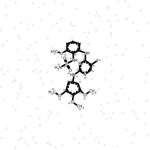 COc1cccc(Nc2nc(Nc3cc(OC)c(OC)c(OC)c3)ncc2F)c1NS(N)(=O)=O